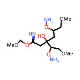 COCOC(=N)CC(O)(CC(COC)ON)C(COC)ON